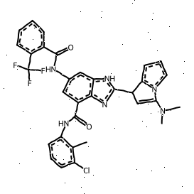 Cc1c(Cl)cccc1NC(=O)c1cc(NC(=O)c2ccccc2C(F)(F)F)cc2[nH]c(C3C=C(N(C)C)n4cccc43)nc12